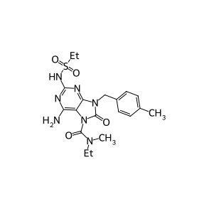 CCN(C)C(=O)n1c(=O)n(Cc2ccc(C)cc2)c2nc(NS(=O)(=O)CC)nc(N)c21